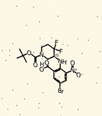 CC(C)(C)OC(=O)N1CCC(F)(F)[C@@H](Nc2c(C(=O)O)cc(Br)cc2[N+](=O)[O-])C1